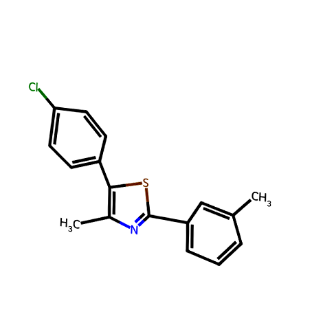 Cc1cccc(-c2nc(C)c(-c3ccc(Cl)cc3)s2)c1